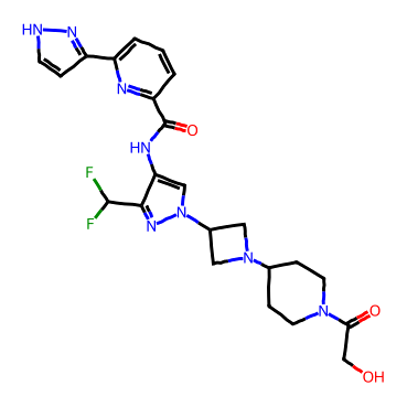 O=C(Nc1cn(C2CN(C3CCN(C(=O)CO)CC3)C2)nc1C(F)F)c1cccc(-c2cc[nH]n2)n1